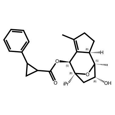 CC1=C2[C@@H](CC1)[C@]1(C)O[C@@](C(C)C)(C[C@H]1O)[C@H]2OC(=O)C1CC1c1ccccc1